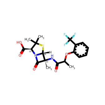 CC(Oc1ccccc1C(F)(F)F)C(=O)N[C@@]1(C)C(=O)N2[C@@H](C(=O)O)C(C)(C)S[C@@H]21